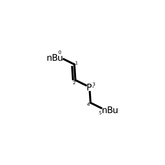 CCCCC=C[P]CCCCC